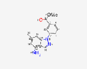 COC(=O)c1cccc(-n2ncc3c(N)cc(C)cc32)c1